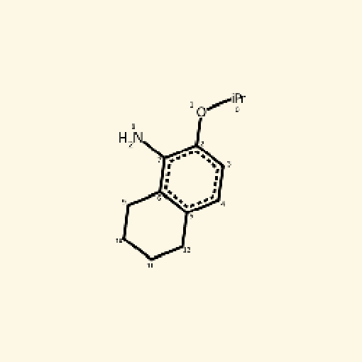 CC(C)Oc1ccc2c(c1N)CCCC2